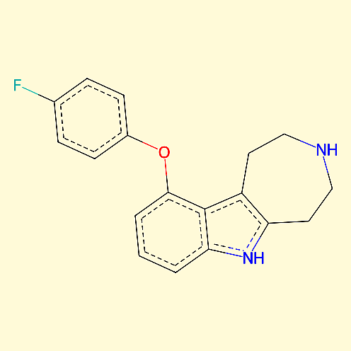 Fc1ccc(Oc2cccc3[nH]c4c(c23)CCNCC4)cc1